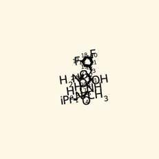 CC(C)CNC(=O)C(C)(C)NC[C@@H](O)[C@H](Cc1cc(F)cc(F)c1)OC(N)=O